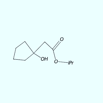 CC(C)OC(=O)CC1(O)CCCC1